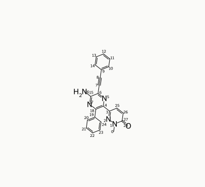 Cn1nc(-c2nc(C#Cc3ccccc3)c(N)nc2-c2ccccc2)ccc1=O